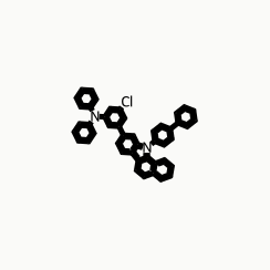 Clc1cc(-c2ccc3c4ccc5ccccc5c4n(-c4ccc(-c5ccccc5)cc4)c3c2)cc(N(c2ccccc2)c2ccccc2)c1